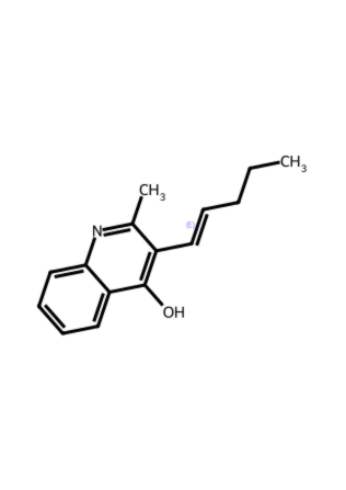 CCC/C=C/c1c(C)nc2ccccc2c1O